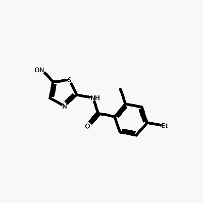 CCc1ccc(C(=O)Nc2ncc(N=O)s2)c(C)c1